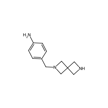 Nc1ccc(CN2CC3(CNC3)C2)cc1